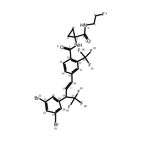 O=C(NC1(C(=O)NCCF)CC1)c1ccc(/C=C/C(c2cc(Br)cc(Br)c2)C(F)(F)F)cc1C(F)(F)F